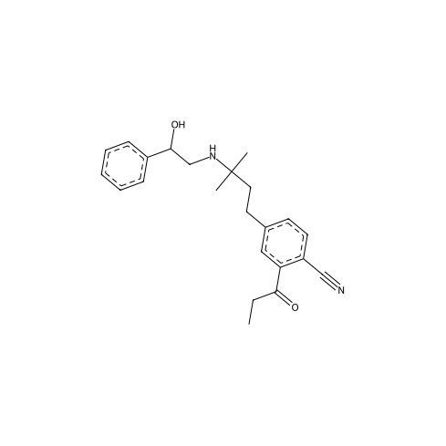 CCC(=O)c1cc(CCC(C)(C)NCC(O)c2ccccc2)ccc1C#N